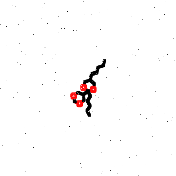 CCC/C=C/C1COC(CCCCC)(C2COCOC2)OC1